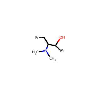 CC(C)CC(C(O)C(C)C)N(C)C